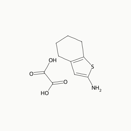 Nc1cc2c(s1)CCCC2.O=C(O)C(=O)O